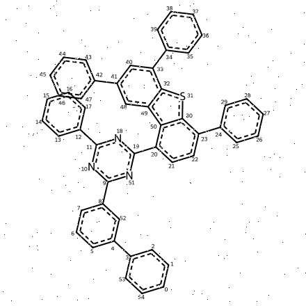 c1ccc(-c2cccc(-c3nc(-c4ccccc4)nc(-c4ccc(-c5ccccc5)c5sc6c(-c7ccccc7)cc(-c7ccccc7)cc6c45)n3)c2)cc1